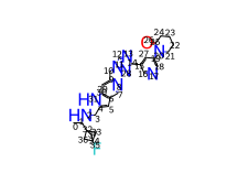 CC(NCc1cc2cnc(Cn3cnc(-c4cncc(N5CCCCC5=O)c4)n3)cc2[nH]1)C12CC(F)(C1)C2